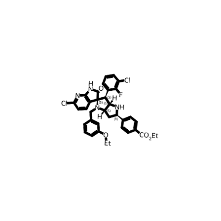 CCOC(=O)c1ccc([C@H]2C[C@H]3[C@@H](N2)[C@H](c2cccc(Cl)c2F)[C@]2(C(=O)Nc4nc(Cl)ccc42)N3Cc2cccc(OCC)c2)cc1